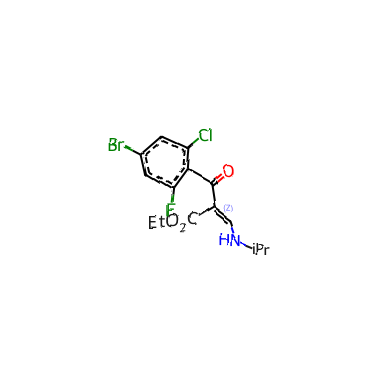 CCOC(=O)/C(=C\NC(C)C)C(=O)c1c(F)cc(Br)cc1Cl